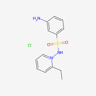 CCc1cccc[n+]1NS(=O)(=O)c1cccc(N)c1.[Cl-]